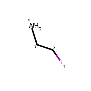 [AlH2][CH2]CI